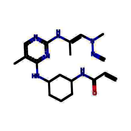 C=CC(=O)NC1CCCC(Nc2nc(N/C(C)=C/N(C)N=C)ncc2C)C1